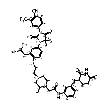 CC1CN(CCOc2ccc(N3C(=S)N(c4ccc(C#N)c(C(F)(F)F)c4)C(=O)C3(C)C)cc2CC(F)F)CCN1CC(=O)Nc1cccc(NC2CCC(=O)NC2=O)c1